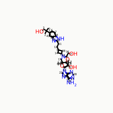 CC(C)(CO)c1ccc2[nH]c(CCC3CC(N4C[C@H]5O[C@@H](n6cnc7c(N)ncnc76)[C@H](O)[C@@H]5OC4CO)C3)nc2c1